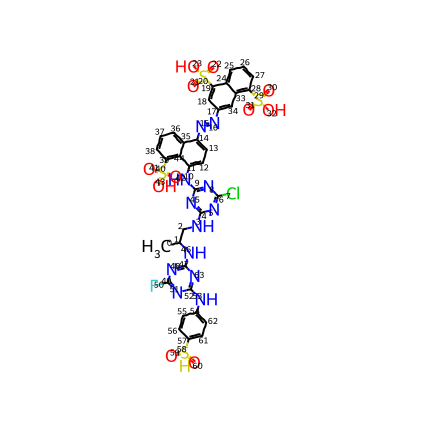 CC(CNc1nc(Cl)nc(Nc2ccc(N=Nc3cc(S(=O)(=O)O)c4cccc(S(=O)(=O)O)c4c3)c3cccc(S(=O)(=O)O)c23)n1)Nc1nc(F)nc(Nc2ccc([SH](=O)=O)cc2)n1